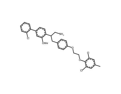 COc1cc(-c2ccccc2Cl)ccc1C(CN)Cc1ccc(OCCOc2c(Cl)cc(C)cc2Cl)cc1